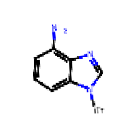 CC(C)n1cnc2c(N)cccc21